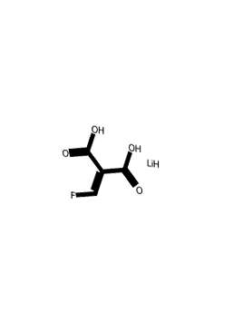 O=C(O)C(=CF)C(=O)O.[LiH]